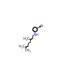 CC(C)=CCC/C(C)=C/[CH]Nc1cccc(C#N)c1